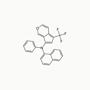 FC(F)(F)c1cc(N(c2ccccc2)c2cccc3ccccc23)c2coccc1-2